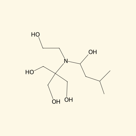 CC(C)CC(O)N(CCO)C(CO)(CO)CO